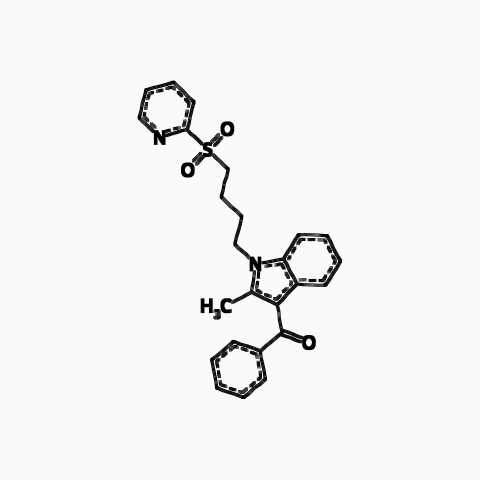 Cc1c(C(=O)c2ccccc2)c2ccccc2n1CCCCS(=O)(=O)c1ccccn1